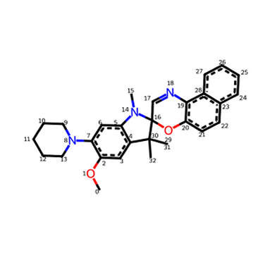 COc1cc2c(cc1N1CCCCC1)N(C)C1(C=Nc3c(ccc4ccccc34)O1)C2(C)C